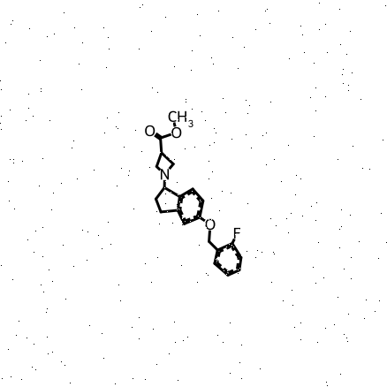 COC(=O)C1CN(C2CCc3cc(OCc4ccccc4F)ccc32)C1